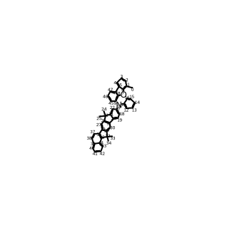 Cc1cccc2c1oc1c(N(c3ccccc3)c3ccc4c(c3)C(C)(C)c3cc5c(cc3-4)C(C)(C)c3c-5ccc4ccccc34)cccc12